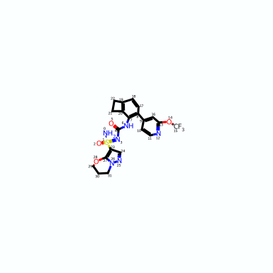 N[S@](=O)(=NC(=O)Nc1c(-c2ccnc(OC(F)(F)F)c2)ccc2c1CC2)c1cnn2c1OCCC2